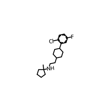 CC1(NCCC2CCC(c3cc(F)ccc3Cl)CC2)CCCC1